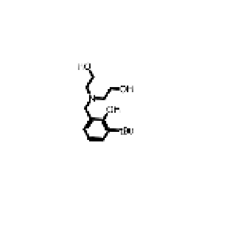 CC(C)(C)c1cccc(CN(CCO)CCO)c1O